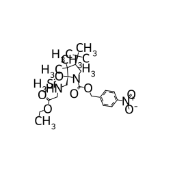 CCOC(=O)CNC[C@]1(O[SiH3])N(C(=O)OCc2ccc([N+](=O)[O-])cc2)C[C@H](C(C)(C)C)C1(C)C